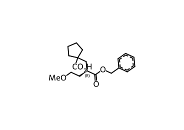 COCC[C@@H](CC1(C(=O)O)CCCC1)C(=O)OCc1ccccc1